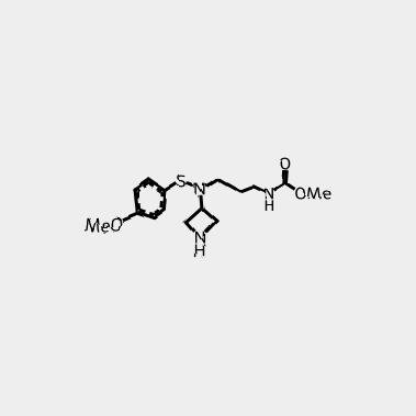 COC(=O)NCCCN(Sc1ccc(OC)cc1)C1CNC1